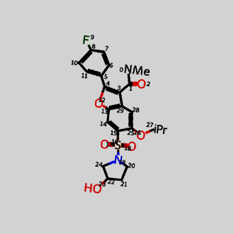 CNC(=O)c1c(-c2ccc(F)cc2)oc2cc(S(=O)(=O)N3CCC(O)C3)c(OC(C)C)cc12